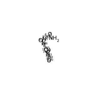 NC(=O)[C@H]1CCN(C(=O)N2CC(c3ccc(N4CC5(CCOC5)C4)nc3)C2)C1